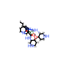 CCC12CCN3CC(Cl)CC1NC(N)C(C(=O)NC1CNCCC1OC1CCNCC1)C3C2